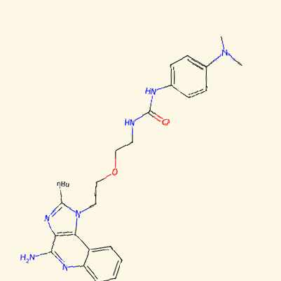 CCCCc1nc2c(N)nc3ccccc3c2n1CCOCCNC(=O)Nc1ccc(N(C)C)cc1